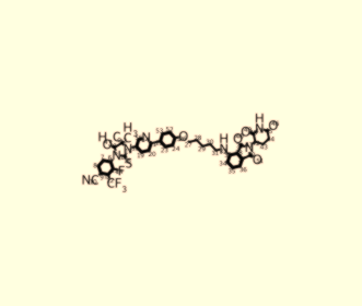 CC1(C)C(=O)N(c2ccc(C#N)c(C(F)(F)F)c2F)C(=S)N1c1ccc(-c2ccc(OCCCCCNc3cccc4c3C(=O)N(C3CCC(=O)NC3=O)C4=O)cc2)nc1